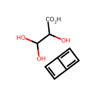 O=C(O)C(O)C(O)O.c1cc2ccc1-2